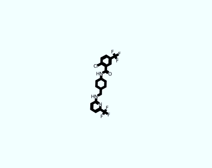 O=C(NC1CCC(CNc2cccc(C(F)(F)F)n2)CC1)c1cc(C(F)(F)F)ccc1Cl